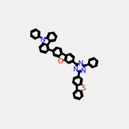 c1ccc(-c2nc(-c3ccc4c(c3)oc3cc(-c5cccc6c5c5ccccc5n6-c5ccccc5)ccc34)nc(-c3ccc4c(c3)sc3ccccc34)n2)cc1